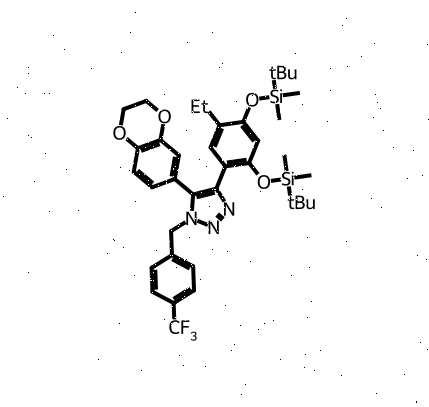 CCc1cc(-c2nnn(Cc3ccc(C(F)(F)F)cc3)c2-c2ccc3c(c2)OCCO3)c(O[Si](C)(C)C(C)(C)C)cc1O[Si](C)(C)C(C)(C)C